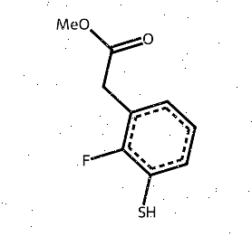 COC(=O)Cc1cccc(S)c1F